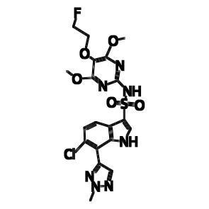 COc1nc(NS(=O)(=O)c2c[nH]c3c(-c4cnn(C)n4)c(Cl)ccc23)nc(OC)c1OCCF